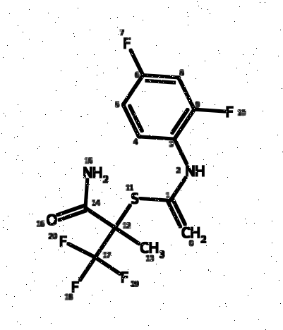 C=C(Nc1ccc(F)cc1F)SC(C)(C(N)=O)C(F)(F)F